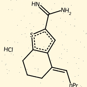 CCC/C=C1\CCCc2sc(C(=N)N)cc21.Cl